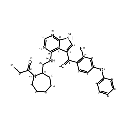 O=C(c1ccc(Oc2ccccc2)cc1F)c1c[nH]c2ncnc(NCC3CCCCCN3C(=O)CI)c12